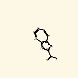 CC(C)c1nc2c(s1)N=C=CC=C2